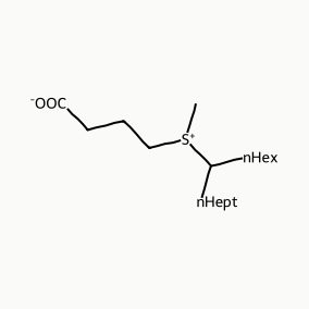 CCCCCCCC(CCCCCC)[S+](C)CCCC(=O)[O-]